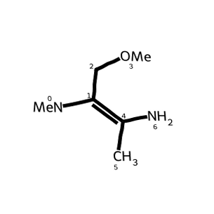 CN/C(COC)=C(\C)N